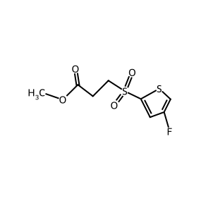 COC(=O)CCS(=O)(=O)c1cc(F)cs1